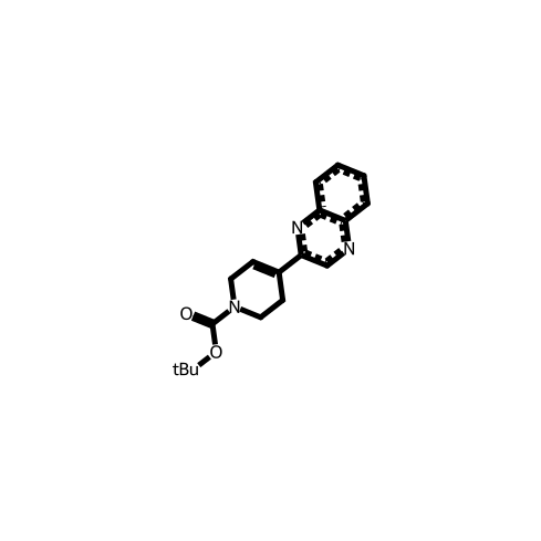 CC(C)(C)OC(=O)N1CC=C(c2cnc3ccccc3n2)CC1